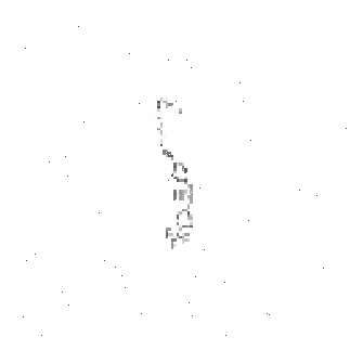 CCCCCCC#Cc1ccc(CNCc2ccc(C(F)(F)F)cc2)cc1